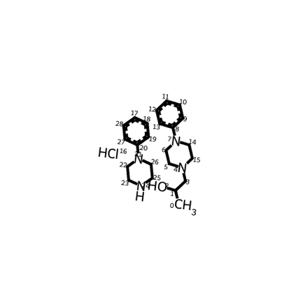 CC(O)CN1CCN(c2ccccc2)CC1.Cl.c1ccc(N2CCNCC2)cc1